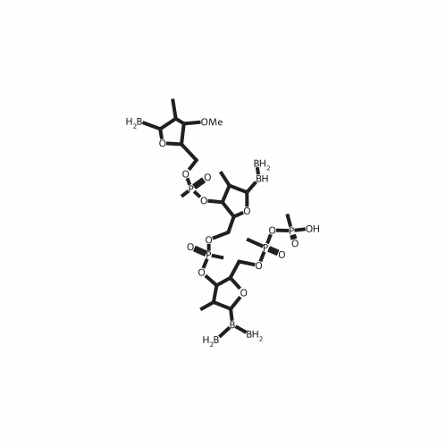 BBC1OC(COP(C)(=O)OC2C(COP(C)(=O)OP(C)(=O)O)OC(B(B)B)C2C)C(OP(C)(=O)OCC2OC(B)C(C)C2OC)C1C